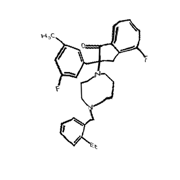 CCc1ccccc1CN1CCN(C2(c3cc(C)cc(F)c3)Cc3c(F)cccc3C2=O)CC1